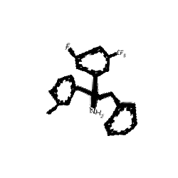 Cc1cccc(C(N)(Cc2ccccc2)c2cc(F)cc(C(F)(F)F)c2)c1